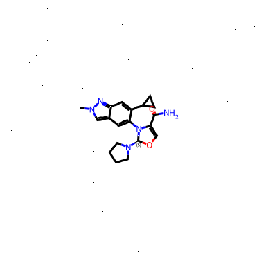 Cn1cc2cc(N3C(C(N)=O)=CO[C@H]3N3CCCC3)c(C3CC3)cc2n1